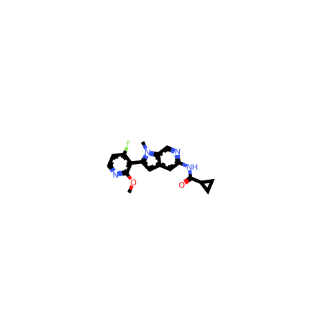 COc1nccc(F)c1-c1cc2cc(NC(=O)C3CC3)ncc2n1C